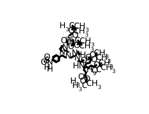 CC(C)(C)OC(=O)CCC(CCC(=O)OC(C)(C)C)(CCC(=O)OC(C)(C)C)NC(=O)Cn1ccnc1CN(CCc1ccc(N[SH](=O)=O)cc1)Cc1nccn1CC(=O)N(CC(=O)OC(C)(C)C)CC(=O)OC(C)(C)C